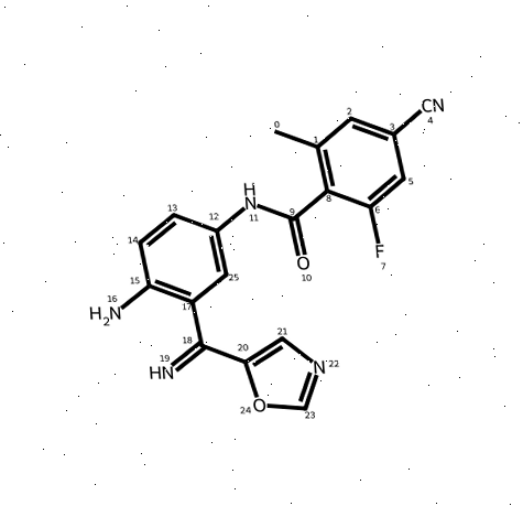 Cc1cc(C#N)cc(F)c1C(=O)Nc1ccc(N)c(C(=N)c2cnco2)c1